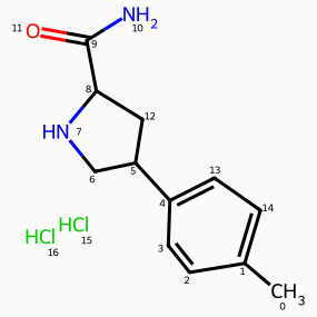 Cc1ccc(C2CNC(C(N)=O)C2)cc1.Cl.Cl